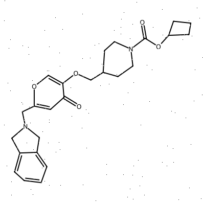 O=C(OC1CCC1)N1CCC(COc2coc(CN3Cc4ccccc4C3)cc2=O)CC1